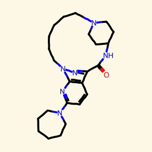 O=C1NC2CCN(CCCCCCn3nc1c1ccc(N4CCCCCC4)nc13)CC2